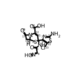 Nc1nc(C2(NC(=O)/C=N\O)C=C(C(=O)O)N3C(=O)C[C@@H]3S2)c(Cl)s1